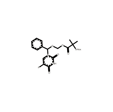 CCCCCCC(C)(C)C(=O)OCOC(c1ccccc1)n1cc(F)c(=O)[nH]c1=O